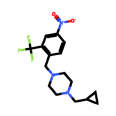 O=[N+]([O-])c1ccc(CN2CCN(CC3CC3)CC2)c(C(F)(F)F)c1